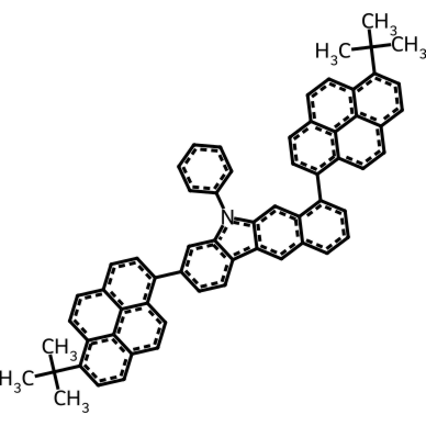 CC(C)(C)c1ccc2ccc3c(-c4ccc5c6cc7cccc(-c8ccc9ccc%10c(C(C)(C)C)ccc%11ccc8c9c%11%10)c7cc6n(-c6ccccc6)c5c4)ccc4ccc1c2c43